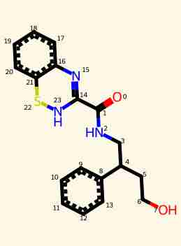 O=C(NCC(CCO)c1ccccc1)C1=Nc2ccccc2SN1